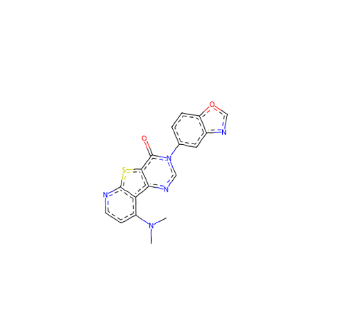 CN(C)c1ccnc2sc3c(=O)n(-c4ccc5ocnc5c4)cnc3c12